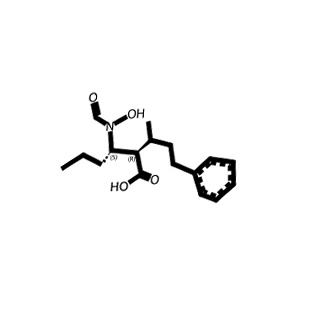 CCC[C@@H]([C@H](C(=O)O)C(C)CCc1ccccc1)N(O)C=O